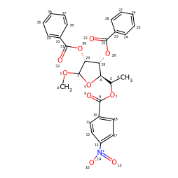 COC1O[C@H](C(C)OC(=O)c2ccc([N+](=O)[O-])cc2)[C@@H](OC(=O)c2ccccc2)[C@H]1OC(=O)c1ccccc1